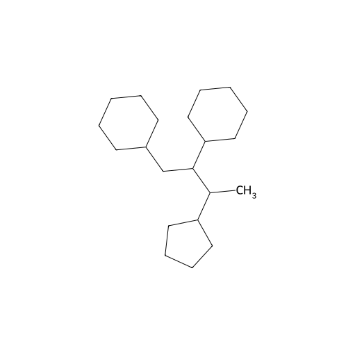 CC(C1CCCC1)C(CC1CCCCC1)C1CCCCC1